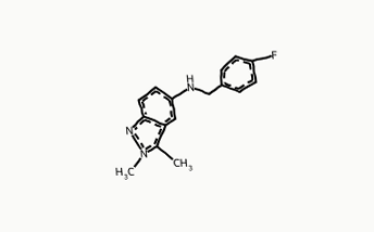 Cc1c2cc(NCc3ccc(F)cc3)ccc2nn1C